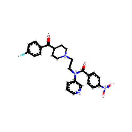 O=C(c1ccc(F)cc1)C1CCN(CCN(C(=O)c2ccc([N+](=O)[O-])cc2)c2cccnc2)CC1